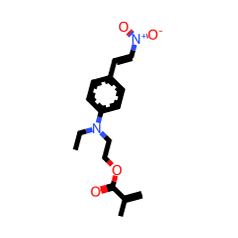 C=C(C)C(=O)OCCN(CC)c1ccc(C=C[N+](=O)[O-])cc1